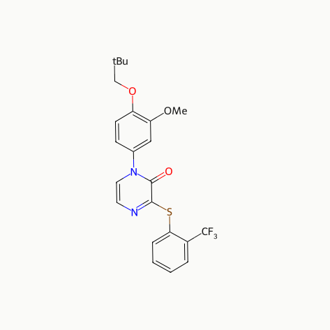 COc1cc(-n2ccnc(Sc3ccccc3C(F)(F)F)c2=O)ccc1OCC(C)(C)C